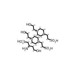 NC(CCO)CS(=O)(=O)O.O=S(=O)(O)CCN1CCN(CCO)CC1.O=S(=O)(O)CCN1CCN(CCO)CC1